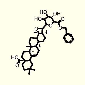 CC1(C)CC[C@]2(C(=O)O)CC[C@]3(C)C(=CCC4[C@@]5(C)CC[C@@H]6[C@H]([C@@H]7OC(C(=O)OCc8ccccc8)[C@@H](O)C(O)C7O)O[C@@]6(C)C5CC[C@]43C)C2C1